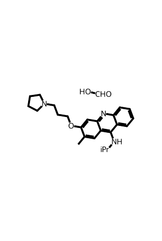 Cc1cc2c(NC(C)C)c3ccccc3nc2cc1OCCCN1CCCC1.O=CO